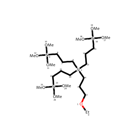 CCOCCC[Si](CCC[Si](OC)(OC)OC)(CCC[Si](OC)(OC)OC)CCC[Si](OC)(OC)OC